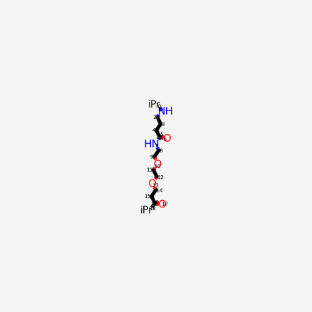 CC(C)NCCCC(=O)NCCOCCOCCC(=O)C(C)C